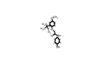 COc1ccc(OCC(=O)Nc2ccc(O)cc2)c(C(C)(C)C)c1